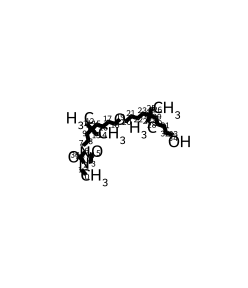 CCN1CC(=O)N(CCCC(CC)(CC)CCCCOCCCCC(CC)(CC)CCCCCO)C1=O